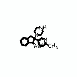 Cc1ccc(C2(N3CCNCC3)Cc3ccccc3C2=[AsH])cn1